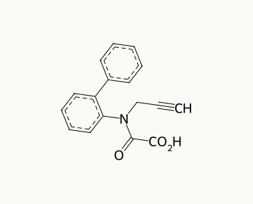 C#CCN(C(=O)C(=O)O)c1ccccc1-c1ccccc1